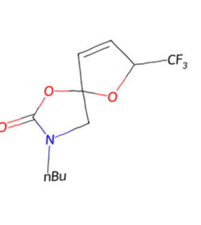 CCCCN1CC2(C=CC(C(F)(F)F)O2)OC1=O